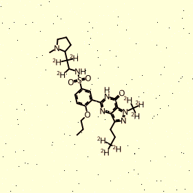 [2H]C(NS(=O)(=O)c1ccc(OCCC)c(-c2nc3c(CCC([2H])([2H])[2H])nn(C([2H])([2H])[2H])c3c(=O)[nH]2)c1)C([2H])([2H])C1CCCN1C